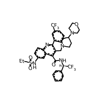 CCS(=O)(=O)Nc1ccc2nc(-c3cccc(C(F)(F)F)c3)c(CN3CCC(N4CCOCC4)CC3)c(C(=O)N[C@H](c3ccccc3)C(F)(F)F)c2c1